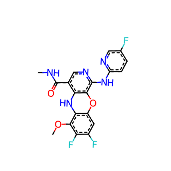 CNC(=O)c1cnc(Nc2ccc(F)cn2)c2c1Nc1c(cc(F)c(F)c1OC)O2